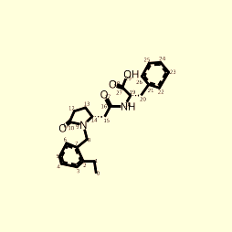 CCc1ccccc1CN1C(=O)CC[C@@H]1CC(=O)N[C@@H](Cc1ccccc1)C(=O)O